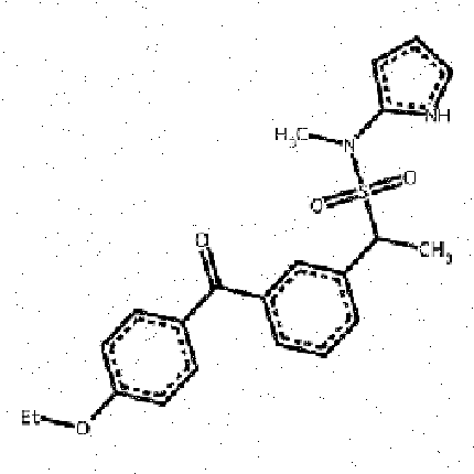 CCOc1ccc(C(=O)c2cccc(C(C)S(=O)(=O)N(C)c3ccc[nH]3)c2)cc1